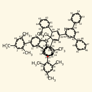 Cc1cc(C)c(-c2ccc3c(c2)c2cc(-c4c(C)cc(C)cc4C)ccc2n3C2(C)C(c3ccccc3C(F)(F)F)=CC(c3nc(-c4ccccc4)cc(-c4ccccc4)n3)=CC2c2ccccc2C(F)(F)F)c(C)c1